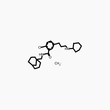 O=C(NCC12CCCC(CCC1)C2)c1cc(CCCNC2CCCCC2)ccc1Cl.[CH2]